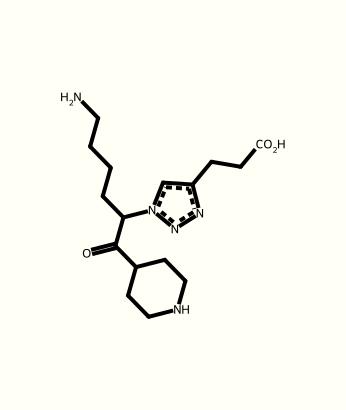 NCCCCC(C(=O)C1CCNCC1)n1cc(CCC(=O)O)nn1